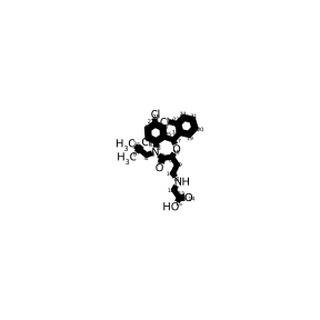 CC(C)(C)CN1C(=O)C(CCNCC(=O)O)OC(c2ccccc2Cl)c2cc(Cl)ccc21